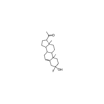 CC(=O)C1CCC2C3CC=C4CC(O)(F)CCC4(C)C3CCC12C